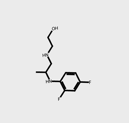 CC(CNCCO)Nc1ccc(F)cc1F